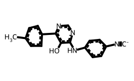 [C-]#[N+]c1ccc(Nc2ncnc(-c3ccc(C)cc3)c2O)cc1